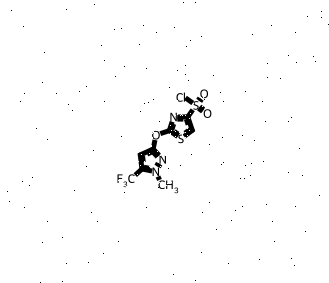 Cn1nc(Oc2nc(S(=O)(=O)Cl)cs2)cc1C(F)(F)F